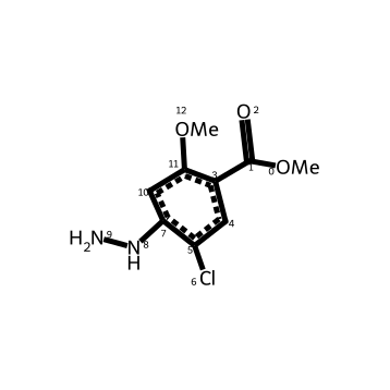 COC(=O)c1cc(Cl)c(NN)cc1OC